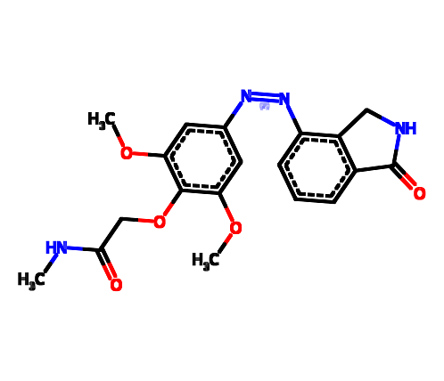 CNC(=O)COc1c(OC)cc(/N=N\c2cccc3c2CNC3=O)cc1OC